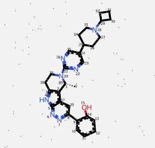 C[C@@H]1c2c([nH]c3nnc(-c4ccccc4O)cc23)CCN1c1ncc(C2CCN(C3CCC3)CC2)cn1